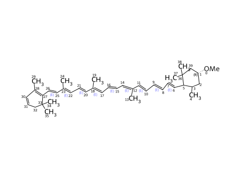 CO[C@@H]1CC(C)C(/C=C/C=C/C=C/C(C)=C/C=C/C=C(C)/C=C/C=C(C)/C=C/C2=C(C)C=CCC2(C)C)C(C)(C)C1